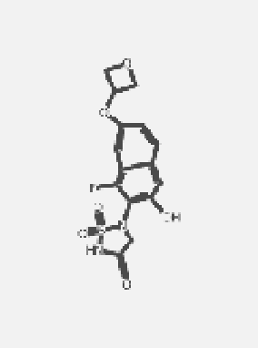 O=C1CN(c2c(O)cc3ccc(OC4COC4)cc3c2F)S(=O)(=O)N1